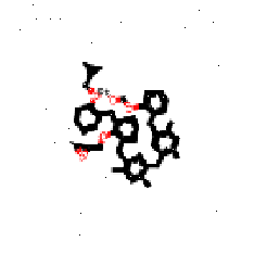 CCOCOc1ccccc1Cc1cc(Cc2cc(Cc3cccc(CC4=C(OCC5CC5)CCC=C4)c3OCC3CO3)c(C)cc2C)c(C)cc1C